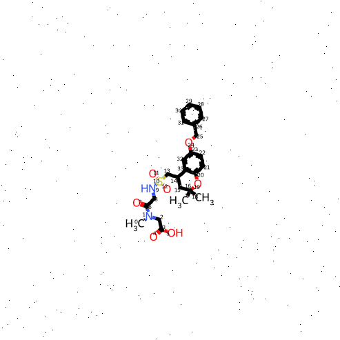 CN(CC(=O)O)C(=O)CNS(=O)(=O)CC1CC(C)(C)Oc2ccc(OCc3ccccc3)cc21